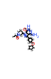 C=CC(=O)N1CCC[C@@H](n2nc(-c3ccc(OC4CCCC4)cc3)c3c(N)n[nH]c(=O)c32)C1